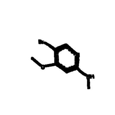 CNc1cc(OC)c(Br)cn1